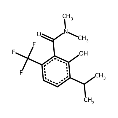 CC(C)c1ccc(C(F)(F)F)c(C(=O)N(C)C)c1O